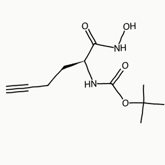 C#CCC[C@H](NC(=O)OC(C)(C)C)C(=O)NO